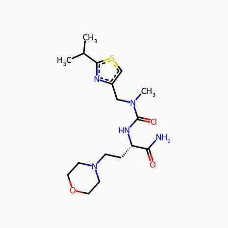 CC(C)c1nc(CN(C)C(=O)N[C@@H](CCN2CCOCC2)C(N)=O)cs1